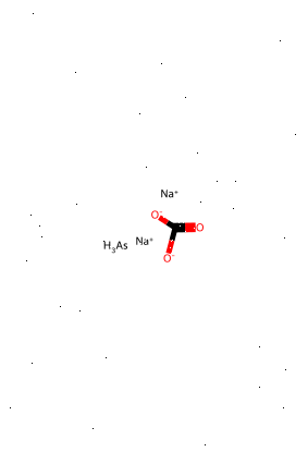 O=C([O-])[O-].[AsH3].[Na+].[Na+]